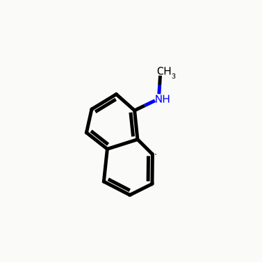 CNc1cccc2ccc[c]c12